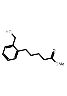 COC(=O)CCCCc1ccccc1CO